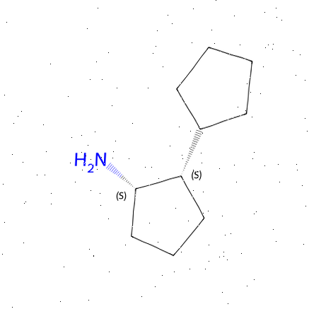 N[C@H]1CCC[C@H]1C1CCCC1